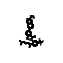 CN(C)CCCN(C)c1ccc(C(F)(F)F)cc1NC(=O)c1cc(-c2ccc3nc(N)ncc3c2)ccc1Br